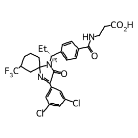 CC[C@H](c1ccc(C(=O)NCCC(=O)O)cc1)N1C(=O)C(c2cc(Cl)cc(Cl)c2)=NC12CCCC(C(F)(F)F)C2